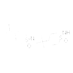 CC(C)C1CCS(=O)(=NCC(C)(C)C2CCS(=N)(=O)CC2)CC1